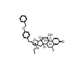 CC12C[C@H](O)[C@@]3(F)[C@@H](C[C@H](F)C4=CC(=O)C=C[C@@]43C)[C@@H]1C[C@H]1CN(Cc3ccc(OCc4ccccc4)cc3)O[C@]12C(=O)SCF